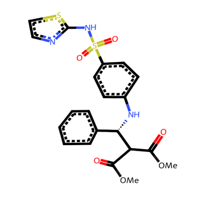 COC(=O)C(C(=O)OC)[C@@H](Nc1ccc(S(=O)(=O)Nc2nccs2)cc1)c1ccccc1